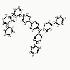 C1=CC(N(c2ccc(-c3ccc(-c4cccc5c6c(oc45)C(c4ccccc4)=CCC6)cc3)cc2)C2C=CC(c3ccccc3)=CC2)CC=C1c1ccccc1